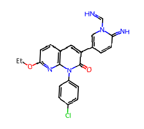 CCOc1ccc2cc(-c3ccc(=N)n(C=N)c3)c(=O)n(-c3ccc(Cl)cc3)c2n1